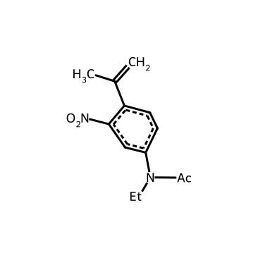 C=C(C)c1ccc(N(CC)C(C)=O)cc1[N+](=O)[O-]